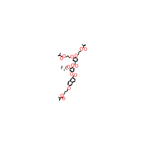 C=C(C)C(=O)OCCCCOc1ccc2cc(C(=O)Oc3ccc(OC(=O)c4ccc(OCCCOC(=O)C(=C)C)c(OCCCOC(=O)C(=C)C)c4)c(OC(F)(F)F)c3)ccc2c1